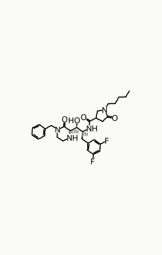 CCCCCN1CC(C(=O)N[C@@H](Cc2cc(F)cc(F)c2)[C@H](O)[C@@H]2NCCN(Cc3ccccc3)C2=O)CC1=O